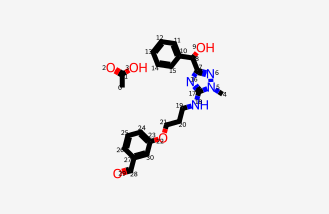 CC(=O)O.Cn1nc(C(O)c2ccccc2)nc1NCCCOc1cccc(C=O)c1